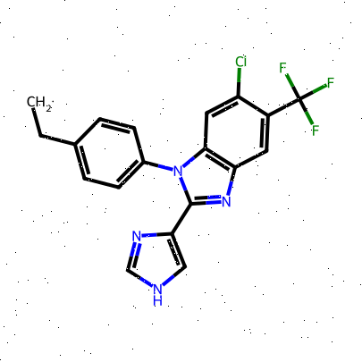 [CH2]Cc1ccc(-n2c(-c3c[nH]cn3)nc3cc(C(F)(F)F)c(Cl)cc32)cc1